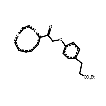 CCOC(=O)CCc1ccc(OCC(=O)c2ccccccccc2)cc1